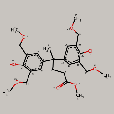 COCc1cc(C(C)(CCC(=O)OC)c2cc(COC)c(O)c(COC)c2)cc(COC)c1O